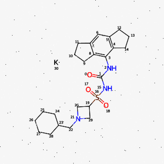 O=C(Nc1c2c(cc3c1CCC3)CCC2)NS(=O)(=O)C1CN(CC2CCCCC2)C1.[K]